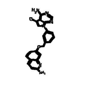 Nc1ccc2ccc(OCc3cccc(-n4cc(Cl)c5c(N)ncnc54)c3)cc2n1